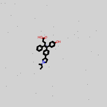 CCC(C)N1CCC(c2ccc(/C(=C(/CCC(=O)O)c3ccccc3)c3ccc(O)cc3)cc2)C1